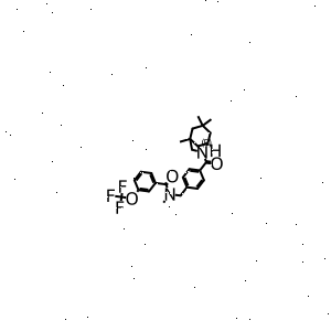 CN(Cc1ccc(C(=O)N2CC3(C)C[C@H]2CC(C)(C)C3)cc1)C(=O)c1cccc(OC(F)(F)F)c1